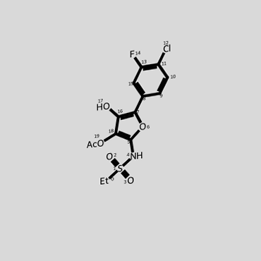 CCS(=O)(=O)Nc1oc(-c2ccc(Cl)c(F)c2)c(O)c1OC(C)=O